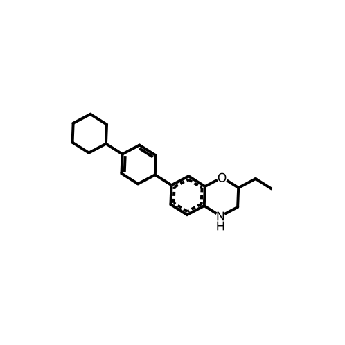 CCC1CNc2ccc(C3C=CC(C4CCCCC4)=CC3)cc2O1